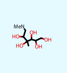 CNCC(O)C(C)(O)C(O)C(O)CO